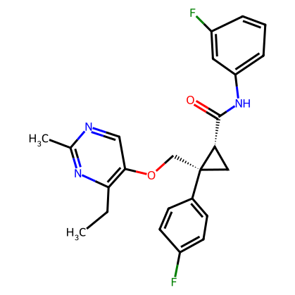 CCc1nc(C)ncc1OC[C@@]1(c2ccc(F)cc2)C[C@H]1C(=O)Nc1cccc(F)c1